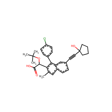 Cc1cc2ccc(C#CC3(O)CCCC3)cc2c(-c2ccc(Cl)cc2)c1C(OC(C)(C)C)C(=O)O